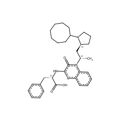 C[C@@H](C[C@@H]1CCCN1C1CCCCCCC1)n1c(=O)c(N[C@@H](Cc2ccccc2)C(=O)O)nc2ccccc21